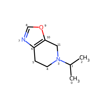 CC(C)N1CCc2ncoc2C1